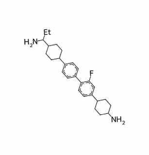 CCC(N)C1CCC(c2ccc(-c3ccc(C4CCC(N)CC4)cc3F)cc2)CC1